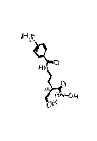 Cc1ccc(C(=O)NCC[C@H](CO)C(=O)NO)cc1